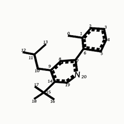 Cc1ccccc1-c1cc(CC(C)C)c(C(C)(C)C)cn1